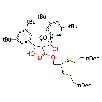 CCCCCCCCCCCCSC(COC(=O)C(C(=O)O)(C(O)c1cc(C(C)(C)C)cc(C(C)(C)C)c1)C(O)c1cc(C(C)(C)C)cc(C(C)(C)C)c1)SCCCCCCCCCCCC